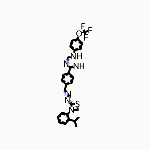 CC(C)c1ccccc1N1CS/C1=N\N=C\c1ccc(C(=N)/N=C\Nc2ccc(OC(F)(F)F)cc2)cc1